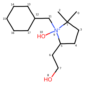 CC1(C)CCC(CCO)[N+]1(O)CC1CCCCC1